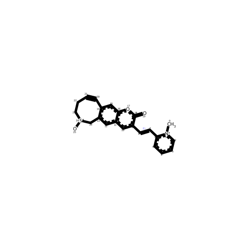 C[n+]1ccccc1/C=C/c1cc2cc3c(cc2oc1=O)C#CCC[S+]([O-])C3